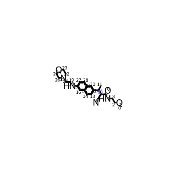 COCCNC(=O)/C(C#N)=C(\C)c1ccc2cc(NCCN3CCOCC3)ccc2c1